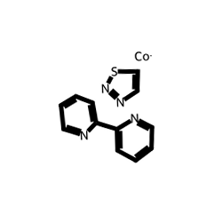 [Co].c1ccc(-c2ccccn2)nc1.c1csnn1